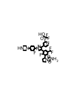 NS(=O)(=O)N1CCCC1c1cc(C(F)F)cc(-c2cn(-c3ccc(N4CCNCC4)cc3F)nc2-c2ccncc2)c1F.O=C(O)C(F)(F)F